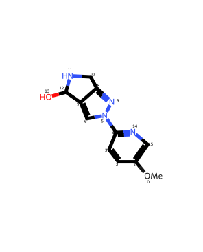 COc1ccc(-n2cc3c(n2)CNC3O)nc1